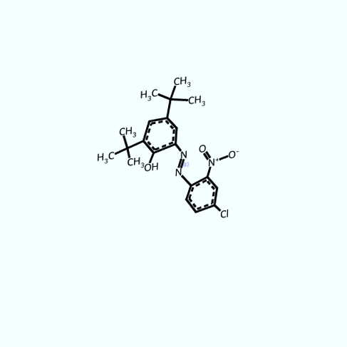 CC(C)(C)c1cc(/N=N/c2ccc(Cl)cc2[N+](=O)[O-])c(O)c(C(C)(C)C)c1